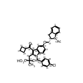 CC(=O)N1c2ccccc2C[C@H]1COc1ccc2c(c1)c(C(=O)C1CCC1)c(CC(C)(C)C(=O)O)n2Cc1ccc(Cl)cc1